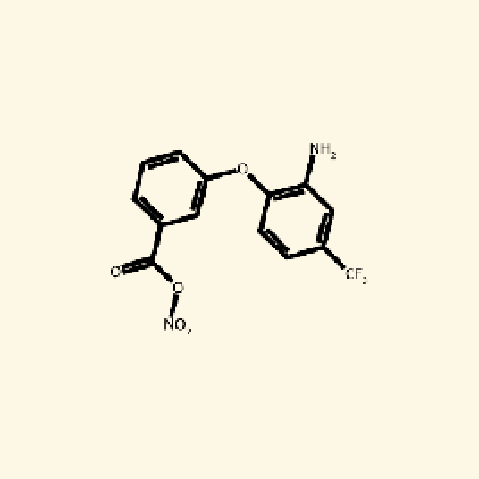 Nc1cc(C(F)(F)F)ccc1Oc1cccc(C(=O)O[N+](=O)[O-])c1